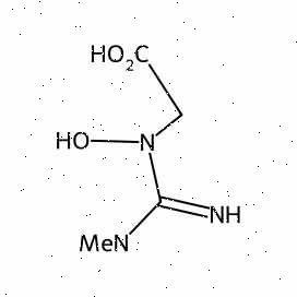 CNC(=N)N(O)CC(=O)O